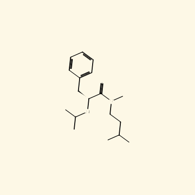 CC(C)CCN(C)C(=O)[C@H](Cc1ccccc1)NC(C)C